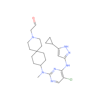 CN(c1ncc(Cl)c(Nc2cc(C3CC3)[nH]n2)n1)C1CCC2(CC1)CCN(CC=O)CC2